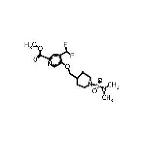 COC(=O)c1cc(C(F)F)c(OCC2CCN(S(=O)(=O)N(C)C)CC2)cn1